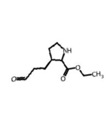 CCOC(=O)C1NCCC1CCC=O